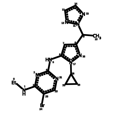 CCNc1nc(Nc2cc(C(C)n3nccn3)nn2C2CC2)ncc1Br